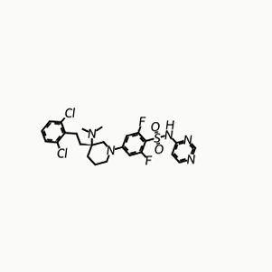 CN(C)[C@@]1(CCc2c(Cl)cccc2Cl)CCCN(c2cc(F)c(S(=O)(=O)Nc3ccncn3)c(F)c2)C1